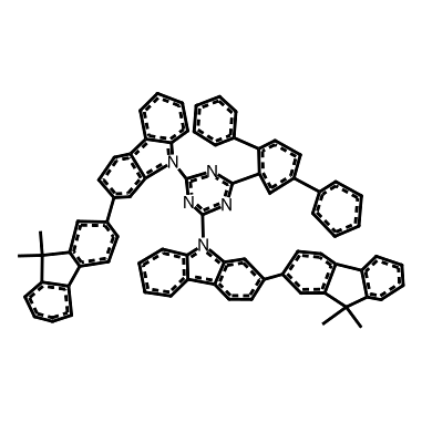 CC1(C)c2ccccc2-c2ccc(-c3ccc4c5ccccc5n(-c5nc(-c6cc(-c7ccccc7)ccc6-c6ccccc6)nc(-n6c7ccccc7c7ccc(-c8ccc9c(c8)C(C)(C)c8ccccc8-9)cc76)n5)c4c3)cc21